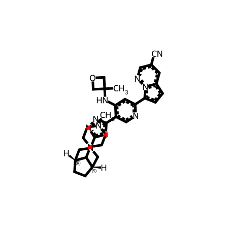 CN1CCN(C2[C@@H]3CC[C@H]2CN(c2nnc(-c4cnc(-c5ccc6cc(C#N)cnn56)cc4NC4(C)COC4)s2)C3)CC1